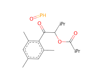 Cc1cc(C)c(C(=O)C(OC(=O)C(C)C)C(C)C)c(C)c1.O=P